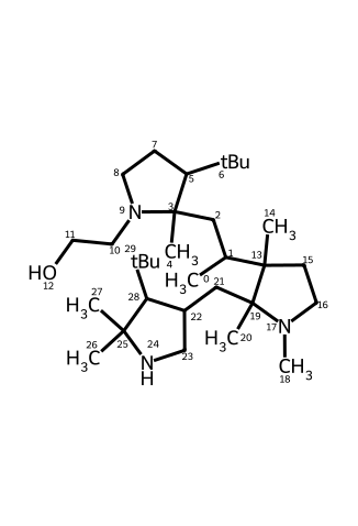 CC(CC1(C)C(C(C)(C)C)CCN1CCO)C1(C)CCN(C)C1(C)CC1CNC(C)(C)C1C(C)(C)C